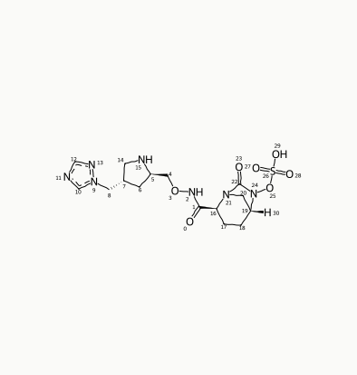 O=C(NOC[C@H]1C[C@H](Cn2cncn2)CN1)[C@@H]1CC[C@@H]2CN1C(=O)N2OS(=O)(=O)O